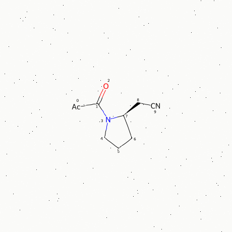 CC(=O)C(=O)N1CCC[C@@H]1CC#N